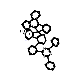 C=CC1=C(/C=C\C)C2=C(CCC=C2c2ccccc2-c2nc(-c3ccccc3)nc(-c3ccccc3)n2)C12c1ccccc1-c1c2c2ccccc2c2ccccc12